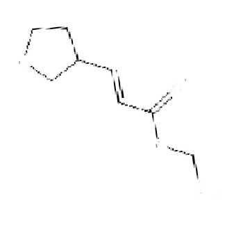 CCOC(=O)/C=C/C1CCOC1